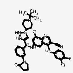 CC(C)(C)N1CCC(N2C=C([C@@H](Nc3cc(Cl)c4ncc(C#N)c(Nc5ccc(F)c(Cl)c5)c4c3)c3cccc(N4CCCC4=O)c3)NN2)CC1